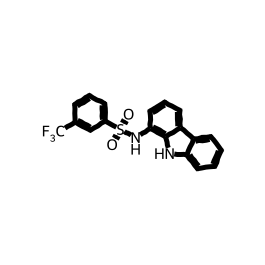 O=S(=O)(Nc1cccc2c1[nH]c1ccccc12)c1cccc(C(F)(F)F)c1